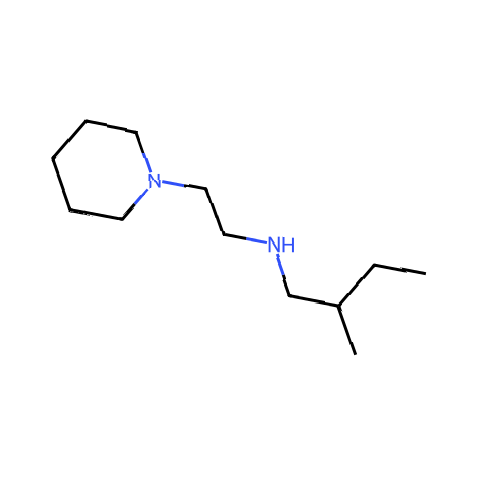 CCC(C)CNCCN1CCCCC1